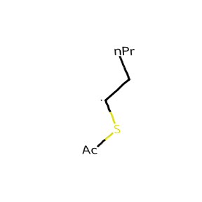 CCCC[CH]SC(C)=O